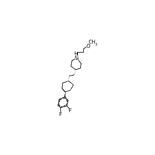 COCCC[Si@H]1CC[C@H](CC[C@H]2CC[C@H](c3ccc(F)c(F)c3)CC2)CC1